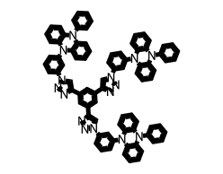 c1ccc(N2c3ccccc3N(c3cccc(-n4cc(-c5cc(-c6cn(-c7cccc(N8c9ccccc9N(c9ccccc9)c9ccccc98)c7)nn6)cc(-c6cn(-c7cccc(N8c9ccccc9N(c9ccccc9)c9ccccc98)c7)nn6)c5)nn4)c3)c3ccccc32)cc1